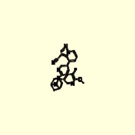 COc1ncc(CN2C3CC2CN(c2ccc(-c4cccn5ncc(C#N)c45)cn2)C3)cc1F